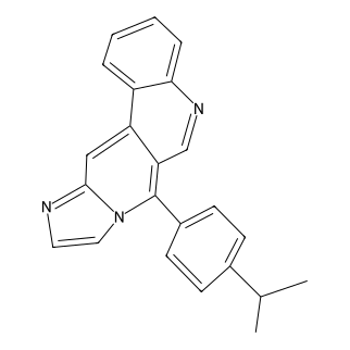 CC(C)c1ccc(-c2c3cnc4ccccc4c3cc3nccn23)cc1